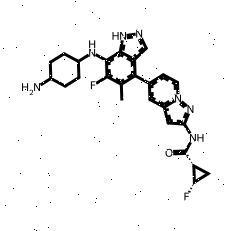 Cc1c(F)c(NC2CCC(N)CC2)c2[nH]ncc2c1-c1ccn2nc(NC(=O)[C@@H]3C[C@@H]3F)cc2c1